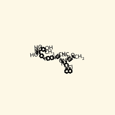 C=CC(=O)N1CCN(c2nc(OC[C@@H]3C[C@H](N4CCC5(CCN(Cc6ccc(-n7c(O)nnc7-c7cc(C)c(O)cc7O)cc6)CC5)CC4)CN3C)nc3c2CCN(c2cccc4cccc(Cl)c24)C3)C[C@@H]1CC#N